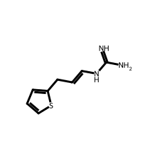 N=C(N)NC=CCc1cccs1